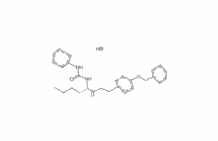 Br.CCCCC(NCCc1ccc(OCc2ccccc2)cc1)NC(=O)Nc1ccccc1